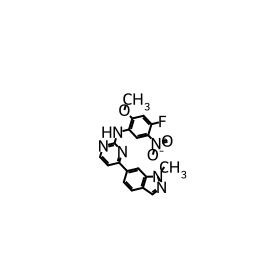 COc1cc(F)c([N+](=O)[O-])cc1Nc1nccc(-c2ccc3cnn(C)c3c2)n1